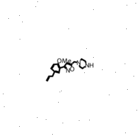 C=CCc1ccc(OC)c(-c2cc(CN3CCNCC3)on2)c1